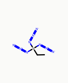 CC[Si](N=[N+]=[N-])(N=[N+]=[N-])N=[N+]=[N-]